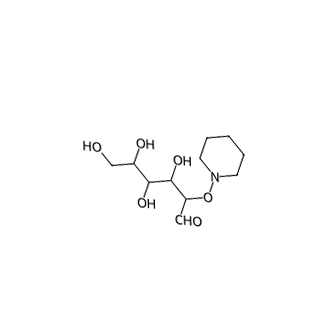 O=CC(ON1CCCCC1)C(O)C(O)C(O)CO